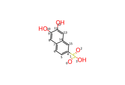 O=S(=O)(O)c1ccc2cc(O)c(O)[c]c2c1